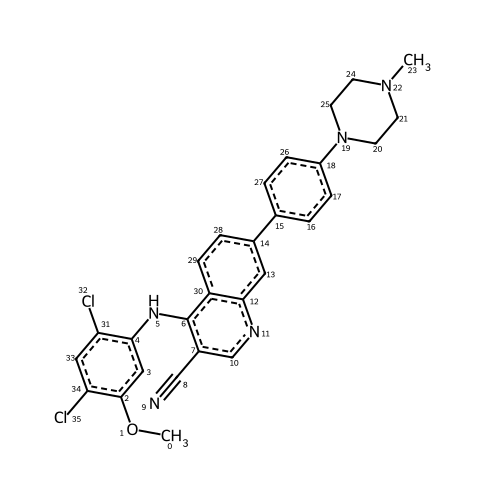 COc1cc(Nc2c(C#N)cnc3cc(-c4ccc(N5CCN(C)CC5)cc4)ccc23)c(Cl)cc1Cl